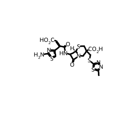 Cc1nnc(SCC2(C(=O)O)CS[C@@H]3C(NC(=O)C(=CC(=O)O)c4csc(N)n4)C(=O)N3C2)s1